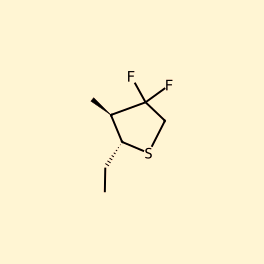 CC[C@H]1SCC(F)(F)[C@@H]1C